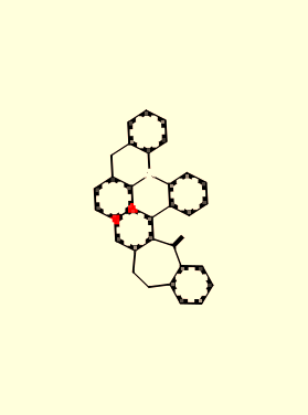 O=C1c2ccccc2CCc2cccc(-c3ccccc3N3c4ccccc4Cc4ccccc43)c21